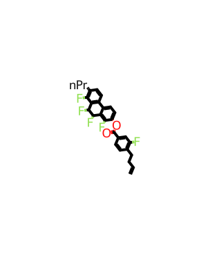 C=CCCc1ccc(C(=O)Oc2ccc3c(c2F)C(F)C(F)c2c-3ccc(CCC)c2F)cc1F